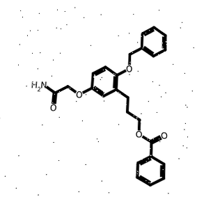 NC(=O)COc1ccc(OCc2ccccc2)c(CCCOC(=O)c2ccccc2)c1